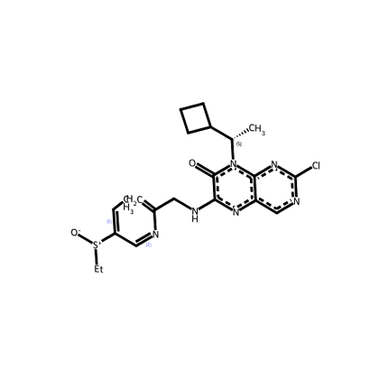 C=C(CNc1nc2cnc(Cl)nc2n([C@@H](C)C2CCC2)c1=O)/N=C\C(=C/C)[S+]([O-])CC